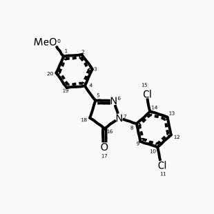 COc1ccc(C2=NN(c3cc(Cl)ccc3Cl)C(=O)C2)cc1